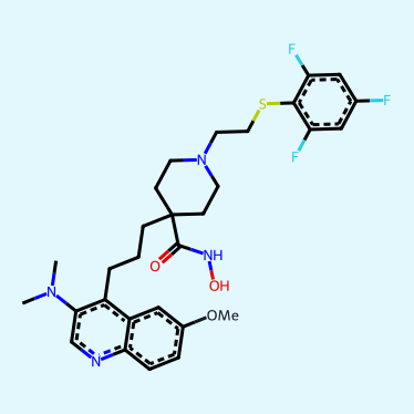 COc1ccc2ncc(N(C)C)c(CCCC3(C(=O)NO)CCN(CCSc4c(F)cc(F)cc4F)CC3)c2c1